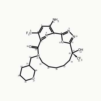 Nc1cc(C(F)(F)F)c2nc1-c1nnc(o1)[C@@](O)(C(F)(F)F)CCCCCN(CC1CCCOC1)C2=O